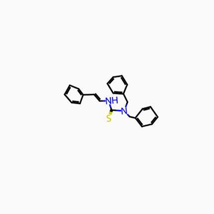 S=C(NC=Cc1ccccc1)N(Cc1ccccc1)Cc1ccccc1